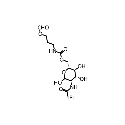 CCCC(=O)N[C@H]1C(O)O[C@H](COC(=O)NCCCOC=O)[C@@H](O)[C@@H]1O